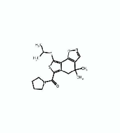 CC(C)Sc1sc(C(=O)N2CCCC2)c2c1-c1oncc1C(C)(C)C2